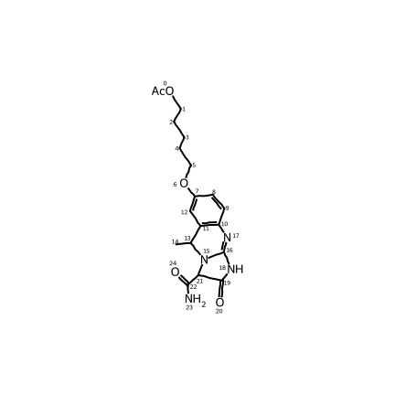 CC(=O)OCCCCCOc1ccc2c(c1)C(C)N1C(=N2)NC(=O)C1C(N)=O